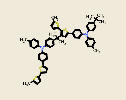 Cc1ccc(N(c2ccc(-c3cc(C(C)(C)c4ccc(N(c5ccc(C)cc5)c5ccc(-c6ccc(-c7ccc(C)s7)s6)cc5)cc4)c(-c4ccc(C)s4)s3)cc2)c2ccc(C(C)(C)C)cc2)cc1